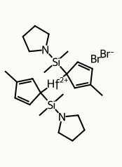 CC1=C[C]([Hf+2][C]2([Si](C)(C)N3CCCC3)C=CC(C)=C2)([Si](C)(C)N2CCCC2)C=C1.[Br-].[Br-]